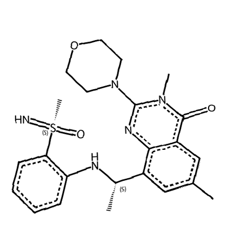 Cc1cc([C@H](C)Nc2ccccc2[S@@](C)(=N)=O)c2nc(N3CCOCC3)n(C)c(=O)c2c1